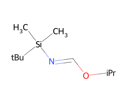 CC(C)OC=N[Si](C)(C)C(C)(C)C